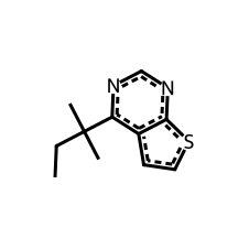 CCC(C)(C)c1ncnc2sccc12